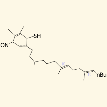 CCCC/C=C(\C)CC/C=C(\C)CCCC(C)CCC1=CC(N=O)C(C)=C(C)C1S